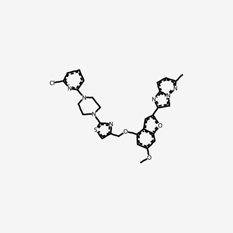 COc1cc(OCc2csc(N3CCN(c4cccc(Cl)n4)CC3)n2)c2cc(-c3cn4nc(C)ccc4n3)oc2c1